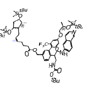 C[C@H]1C(O[Si](C)(C)C(C)(C)C)CC(O[Si](C)(C)C(C)(C)C)C1C/C=C\CCCC(=O)OCc1ccc(C(CNC(=O)OC(C)(C)C)C(=O)Nc2ccc3cnccc3c2)c(-c2ccc(OC[C@@H](C)O[Si](C)(C)C(C)(C)C)cc2C(F)(F)F)c1